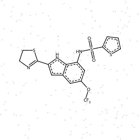 O=S(=O)(Nc1cc(OC(F)(F)F)cc2cc(C3=NC[C]S3)[nH]c12)c1cccs1